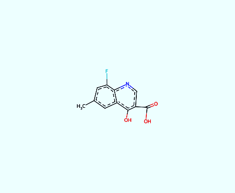 Cc1cc(F)c2ncc(C(=O)O)c(O)c2c1